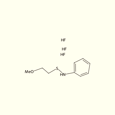 COCCSNc1ccccc1.F.F.F